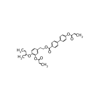 C=CC(=C)Oc1ccc(CCOC(=O)c2ccc(-c3ccc(OC(=O)C=C)cc3)cc2)cc1OC(=O)C=C